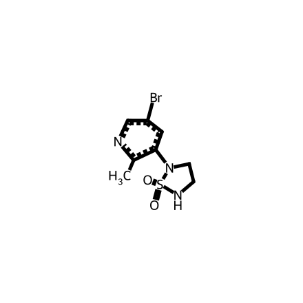 Cc1ncc(Br)cc1N1CCNS1(=O)=O